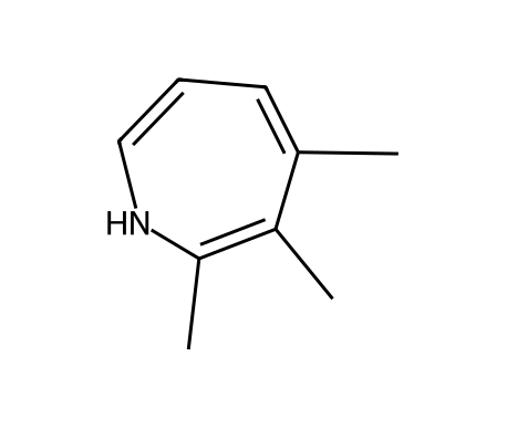 CC1=CC=CNC(C)=C1C